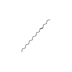 [CH2]CCCCCCCCCC/C=C/CCCC